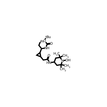 CC(C)CC(NC(=O)OC(C)(C)C)C1CC1CC(=O)NC1CC(C)(C)N(O)C(C)(C)C1